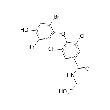 CC(C)c1cc(Oc2c(Cl)cc(C(=O)NCC(=O)O)cc2Cl)c(Br)cc1O